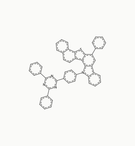 c1ccc(-c2nc(-c3ccccc3)nc(-c3ccc(-n4c5ccccc5c5cc(-c6ccccc6)c6sc7c8ccccc8ccc7c6c54)cc3)n2)cc1